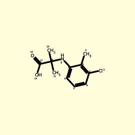 Cc1c(Cl)cccc1NC(C)(C)C(=O)O